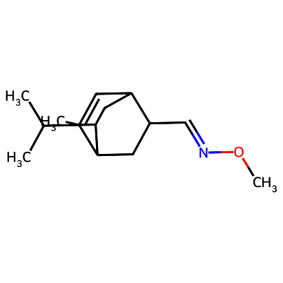 CON=CC1CC2C(C)=CC1CC2C(C)C